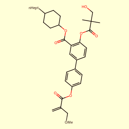 C=C(COC)C(=O)Oc1ccc(-c2ccc(OC(=O)C(C)(C)CO)c(C(=O)OC3CCC(CCCCCCC)CC3)c2)cc1